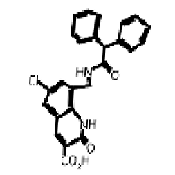 O=C(O)c1cc2cc(Cl)cc(CNC(=O)C(c3ccccc3)c3ccccc3)c2[nH]c1=O